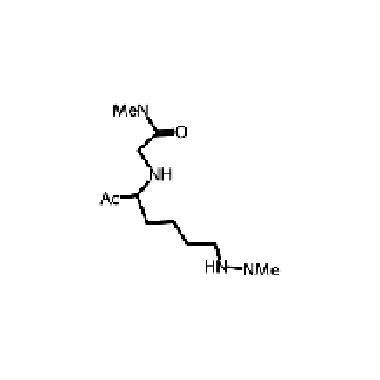 CNNCCCCC(NCC(=O)NC)C(C)=O